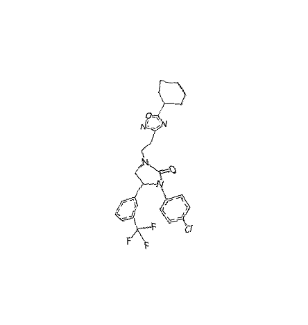 O=C1N(CCc2noc(C3CCCCC3)n2)CC(c2cccc(C(F)(F)F)c2)N1c1ccc(Cl)cc1